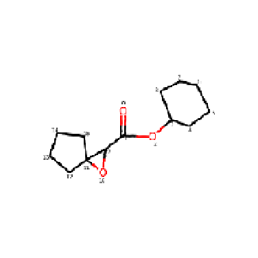 O=C(OC1CCCCC1)C1OC12CCCC2